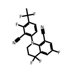 CC(F)(F)c1ccc(N2CCC(F)(F)c3cc(F)cc(C#N)c32)c(C#N)c1F